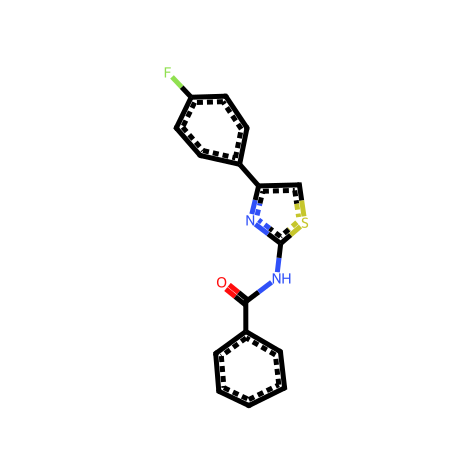 O=C(Nc1nc(-c2ccc(F)cc2)cs1)c1ccccc1